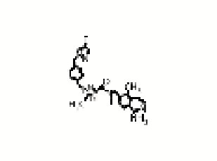 Cc1c(CNC(=O)c2nc(C)n(Cc3ccc(Cn4cc(F)cn4)cc3)n2)ccc2c(N)nccc12